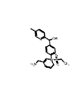 Cc1ccc(C(O)c2ccc([N+]3(S(=O)(=O)CC(F)(F)F)C=C(CN)C=CC3)cc2)nc1